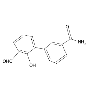 NC(=O)c1cccc(-c2cccc(C=O)c2O)c1